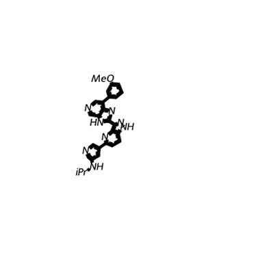 COc1cccc(-c2cncc3[nH]c(-c4n[nH]c5ccc(-c6cncc(NC(C)C)c6)nc45)nc23)c1